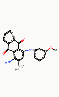 CC(C)Oc1cccc(Nc2cc(S(=O)(=O)O)c(N)c3c2C(=O)c2ccccc2C3=O)c1.[NaH]